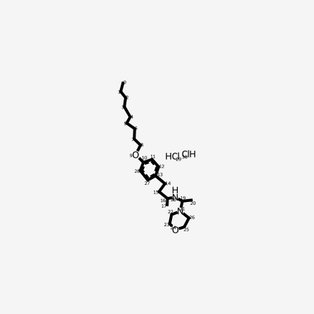 CCCCCCCCCOc1ccc(CCC(C)NC(C)N2CCOCC2)cc1.Cl.Cl